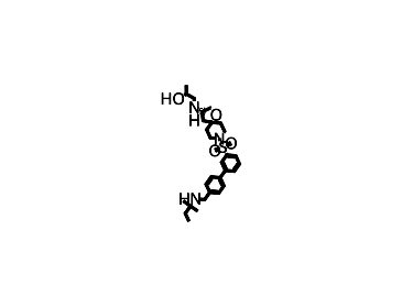 CCC(C)(C)NCc1ccc(-c2cccc(S(=O)(=O)N3CCC4(CC3)C[C@H](NCC(C)O)CO4)c2)cc1